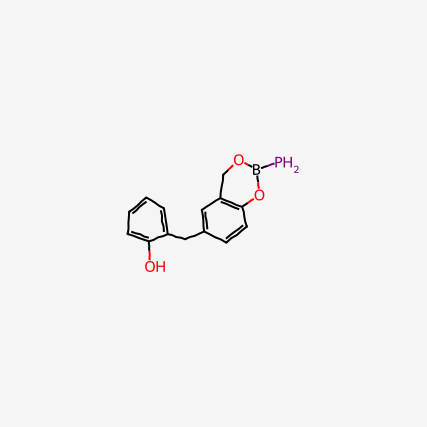 Oc1ccccc1Cc1ccc2c(c1)COB(P)O2